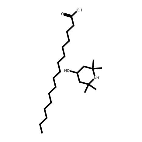 CC1(C)CC(O)CC(C)(C)N1.CCCCCCCCCCCCCCCC(=O)O